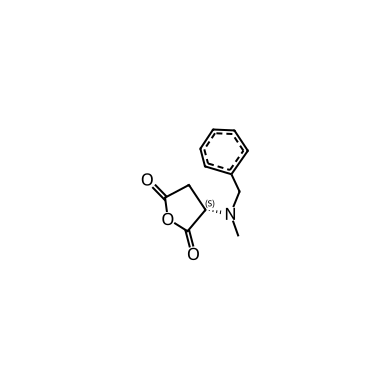 CN(Cc1ccccc1)[C@H]1CC(=O)OC1=O